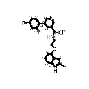 Cc1cc2c(OCCNCc3cncc(-c4ccc(F)cc4F)c3)cccc2[nH]1.Cl